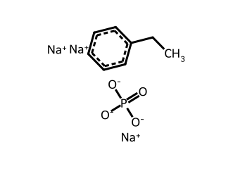 CCc1ccccc1.O=P([O-])([O-])[O-].[Na+].[Na+].[Na+]